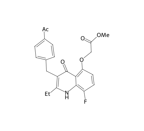 CCc1[nH]c2c(F)ccc(OCC(=O)OC)c2c(=O)c1Cc1ccc(C(C)=O)cc1